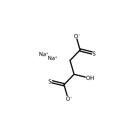 [Na+].[Na+].[O-]C(=S)CC(O)C([O-])=S